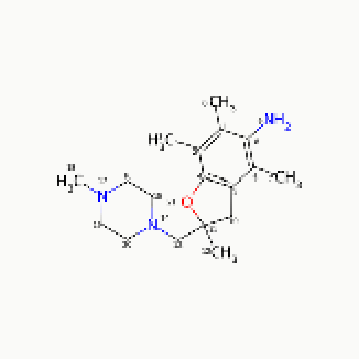 Cc1c(C)c2c(c(C)c1N)CC(C)(CN1CCN(C)CC1)O2